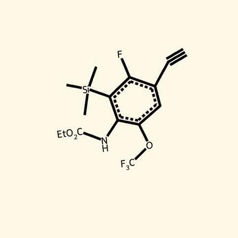 C#Cc1cc(OC(F)(F)F)c(NC(=O)OCC)c([Si](C)(C)C)c1F